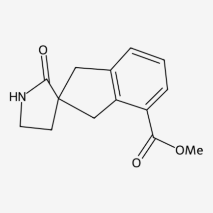 COC(=O)c1cccc2c1CC1(CCNC1=O)C2